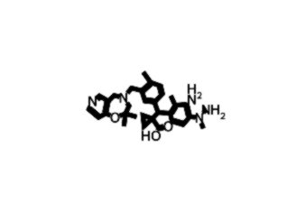 Cc1ccc(C(c2ccc(N(C)N)c(N)c2C)C2(C(=O)O)CC2)cc1CN1Cc2cnccc2OC(C)(C)C1